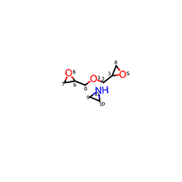 C(OCC1CO1)C1CO1.C1CN1